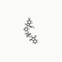 Cn1c(-c2cncc(CNS(=O)(=O)CCN3C(=O)c4ccccc4C3=O)c2)c(N)c2ccc(Cl)cc21